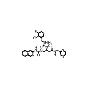 CN(C(=O)NCc1cccc(F)c1Cl)C(COC(=O)Nc1cc2ccccc2cn1)CC(=O)NCc1cnccn1